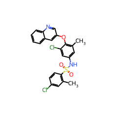 Cc1cc(Cl)ccc1S(=O)(=O)Nc1cc(C)c(Oc2cnc3ccccc3c2)c(Cl)c1